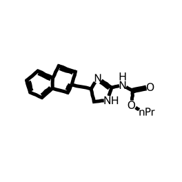 CCCOC(=O)NC1=NC(c2ccc3ccccc3c2)CN1